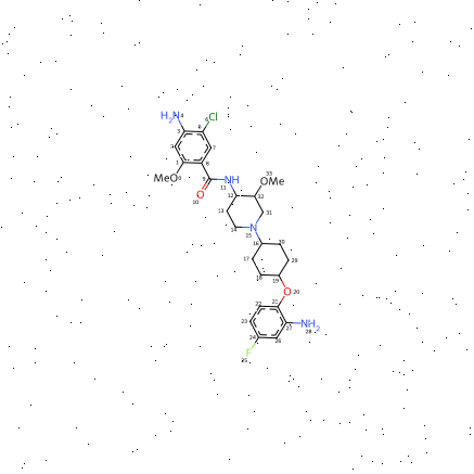 COc1cc(N)c(Cl)cc1C(=O)NC1CCN(C2CCC(Oc3ccc(F)cc3N)CC2)CC1OC